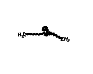 CCCCCCCCCCCCCC[n+]1ccn(CCCCCCCCCC)c1Cc1ccccc1